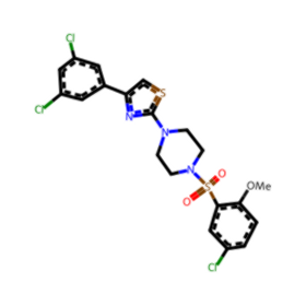 COc1ccc(Cl)cc1S(=O)(=O)N1CCN(c2nc(-c3cc(Cl)cc(Cl)c3)cs2)CC1